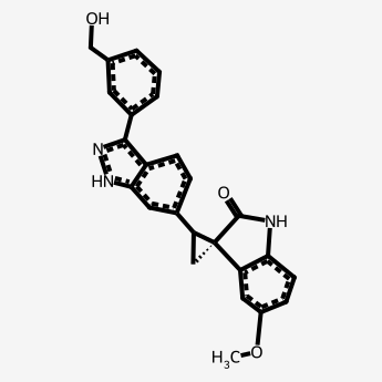 COc1ccc2c(c1)[C@]1(CC1c1ccc3c(-c4cccc(CO)c4)n[nH]c3c1)C(=O)N2